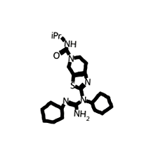 CC(C)NC(=O)N1CCc2nc(N(C(N)=NC3CCCCC3)C3CCCCC3)sc2C1